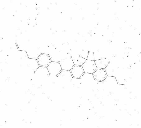 C=CCCc1ccc(OC(=O)c2ccc3c(c2F)C(F)(F)C(F)(F)c2c-3ccc(CCC)c2F)c(F)c1F